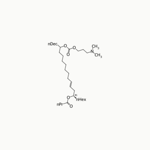 CCCCCCCCCCC(CCCCCCCC=CC[C@@H](CCCCCC)OC(=O)CCC)OC(=O)OCCCN(C)C